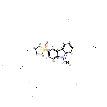 Cn1c2ccccc2c2cc([SH]3(=O)CCCC3)ccc21